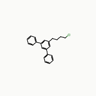 ClCCCCc1cc(-c2ccccc2)cc(-c2ccccc2)c1